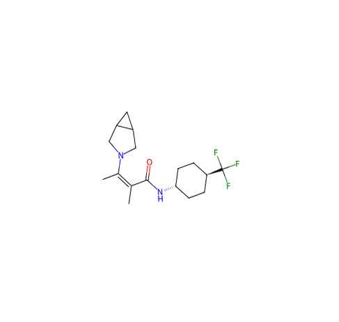 C/C(C(=O)N[C@H]1CC[C@H](C(F)(F)F)CC1)=C(\C)N1CC2CC2C1